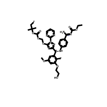 CCOC(=O)/N=C(\N)c1ccc(N[C@@H](c2nc(OCOC(=O)OC(C)(C)CF)n(-c3ncccn3)n2)c2cc(OC)cc(OCCO)c2F)cc1